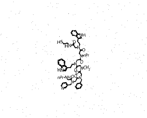 CCCNCC(=O)N(CC(=O)N(CC(=O)N(C)CC(=O)N(CCc1c[nH]c2ccccc12)CC(=O)N(CCC)CC(=O)N(CCc1c[nH]c2ccccc12)CC(=O)NCCS)Cc1ccccc1)Cc1cccnc1